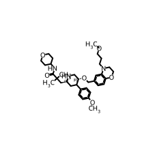 COCCCN1CCOc2ccc(CO[C@H]3CN[C@H](CC(C)(C)C(=O)NC4CCOCC4)CC3c3ccc(OC)cc3)cc21